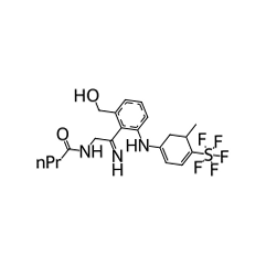 CCCC(=O)NCC(=N)c1c(CO)cccc1NC1=CC=C(S(F)(F)(F)(F)F)C(C)C1